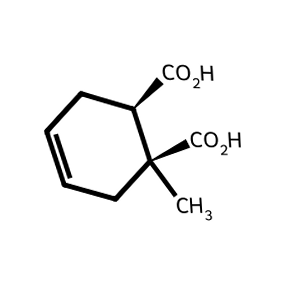 C[C@]1(C(=O)O)CC=CC[C@H]1C(=O)O